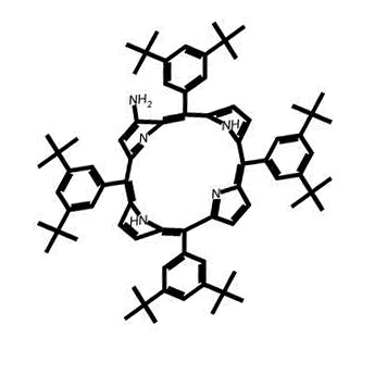 CC(C)(C)c1cc(-c2c3nc(c(-c4cc(C(C)(C)C)cc(C(C)(C)C)c4)c4ccc([nH]4)c(-c4cc(C(C)(C)C)cc(C(C)(C)C)c4)c4nc(c(-c5cc(C(C)(C)C)cc(C(C)(C)C)c5)c5ccc2[nH]5)C=C4N)C=C3)cc(C(C)(C)C)c1